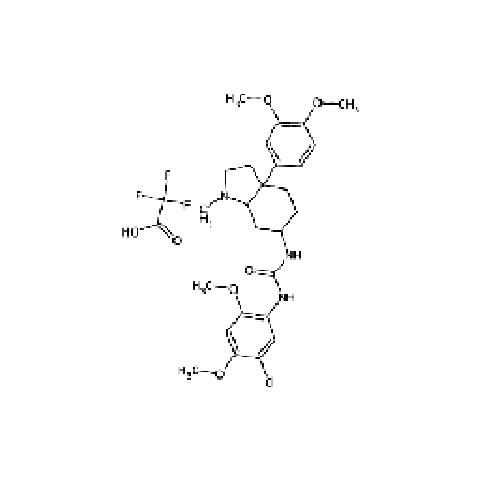 COc1cc(OC)c(NC(=O)NC2CCC3(c4ccc(OC)c(OC)c4)CCN(C)C3C2)cc1Cl.O=C(O)C(F)(F)F